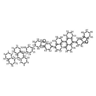 c1ccc2c(-c3c4ccccc4c(-c4ccc(-c5ccc6oc7cc(-c8cccc9c(-c%10c%11ccccc%11c(-c%11ccc%12oc%13ccccc%13c%12c%11)c%11ccccc%10%11)cccc89)ccc7c6c5)cc4)c4ccccc34)cccc2c1